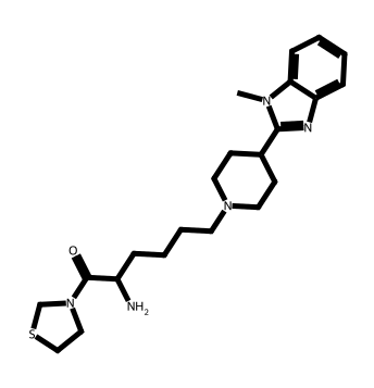 Cn1c(C2CCN(CCCCC(N)C(=O)N3CCSC3)CC2)nc2ccccc21